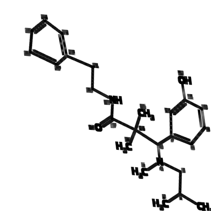 CC(C)CN(C)C(c1cccc(O)c1)C(C)(C)C(=O)NCCc1ccccc1